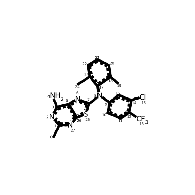 Cc1nc(N)c2nc(N(c3ccc(C(F)(F)F)c(Cl)c3)c3c(C)cccc3C)sc2n1